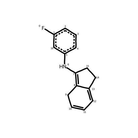 Fc1cccc(NC2=C3CC=CC=C3CC2)c1